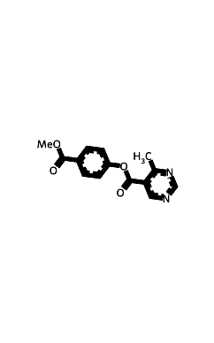 COC(=O)c1ccc(OC(=O)c2cncnc2C)cc1